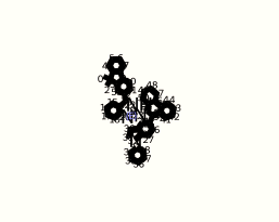 CC1(C)c2ccccc2-c2ccc(Cc3ccccc3/N=C(\N)N3c4c(ccc5c4ccn5-c4ccccc4)C4=c5ccccc5=C5C=CC=CC5C43)cc21